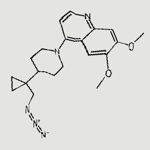 COc1cc2nccc(N3CCC(C4(CN=[N+]=[N-])CC4)CC3)c2cc1OC